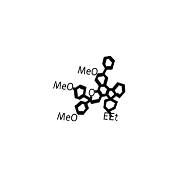 CCC1(CC)CCC2(CC1)c1ccccc1-c1c2c2c(c3cc(OC)c(-c4ccccc4)cc13)OC(c1ccc(OC)cc1)(c1ccc(OC)cc1)C=C2